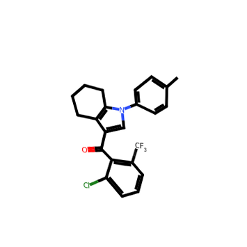 Cc1ccc(-n2cc(C(=O)c3c(Cl)cccc3C(F)(F)F)c3c2CCCC3)cc1